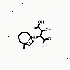 CC12CCCCC(CC1)N2.O=C(O)C(O)C(O)C(=O)O